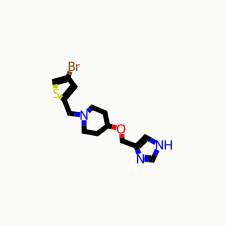 Brc1csc(CN2CCC(OCc3c[nH]cn3)CC2)c1